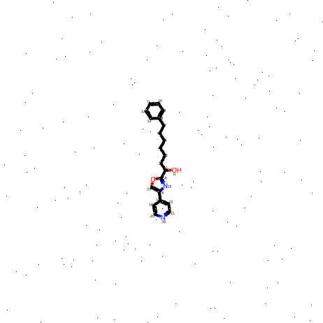 OC(CCCCCCc1ccccc1)c1nc(-c2ccncc2)co1